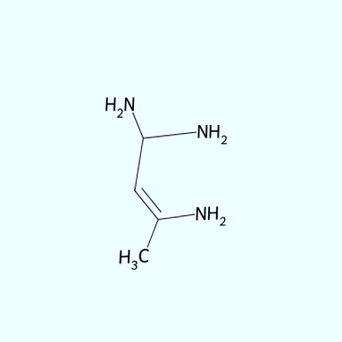 C/C(N)=C/C(N)N